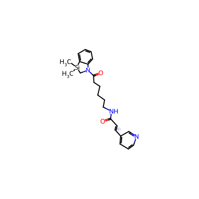 C[Si]1(C)CN(C(=O)CCCCCNC(=O)/C=C/c2cccnc2)c2ccccc21